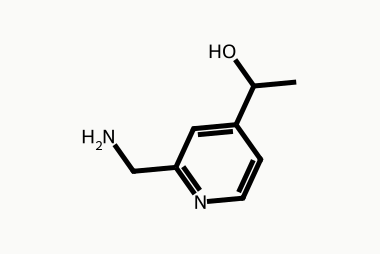 CC(O)c1ccnc(CN)c1